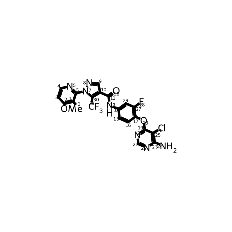 COc1cccnc1-n1ncc(C(=O)Nc2ccc(Oc3ncnc(N)c3Cl)c(F)c2)c1C(F)(F)F